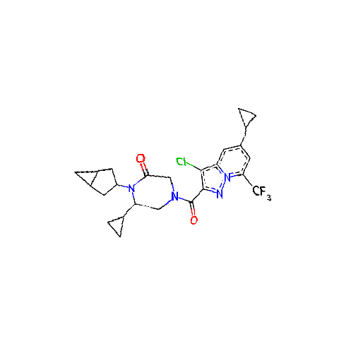 O=C(c1nn2c(C(F)(F)F)cc(C3CC3)cc2c1Cl)N1CC(=O)N(C2CC3CC3C2)C(C2CC2)C1